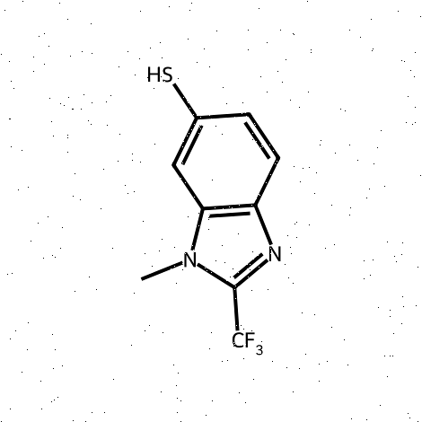 Cn1c(C(F)(F)F)nc2ccc(S)cc21